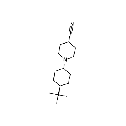 CC(C)(C)[C@H]1CC[C@H](N2CCC(C#N)CC2)CC1